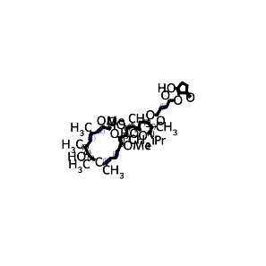 CO/C1=C\C(C)=C\[C@@H](C)[C@@H](O)[C@@H](C)C/C(C)=C/C=C/[C@H](OC)[C@@H]([C@@H](C)[C@@H](O)[C@H](C)[C@@]2(O)C[C@@H](OC(=O)/C=C/C(=O)OC3=C(O)CCC3=O)[C@H](C)[C@@H](C(C)C)O2)OC1=O